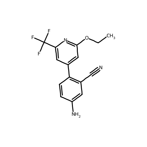 CCOc1cc(-c2ccc(N)cc2C#N)cc(C(F)(F)F)n1